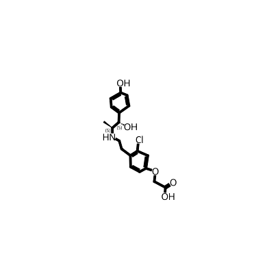 C[C@H](NCCc1ccc(OCC(=O)O)cc1Cl)[C@@H](O)c1ccc(O)cc1